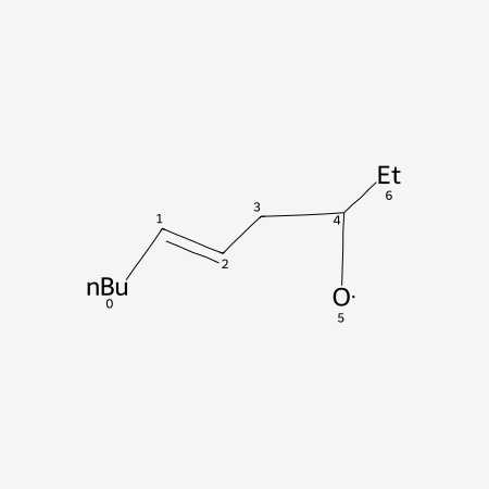 CCCC/C=C/CC([O])CC